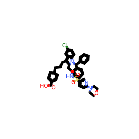 O=C(O)c1ccc(CCCc2c(CCNS(=O)(=O)c3ccc(N4CCOCC4)nc3)n(C(c3ccccc3)c3ccccc3)c3ccc(Cl)cc23)cc1